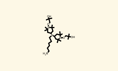 CC(C)(O)CON1C(C)(C)CC(N(CCCCCCN)C2CC(C)(C)N(OCC(C)(C)O)C(C)(C)C2)CC1(C)C